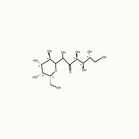 O=C(C(O)C1O[C@H](CO)[C@H](O)[C@H](O)[C@H]1O)[C@@H](O)[C@H](O)[C@H](O)CO